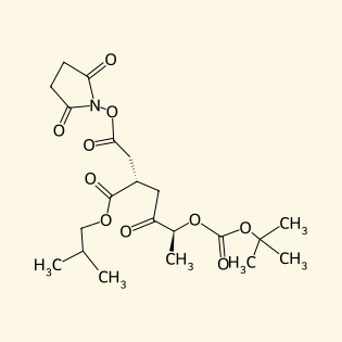 CC(C)COC(=O)[C@H](CC(=O)ON1C(=O)CCC1=O)CC(=O)[C@H](C)OC(=O)OC(C)(C)C